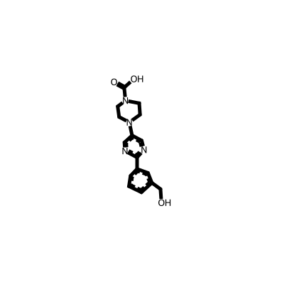 O=C(O)N1CCN(c2cnc(-c3cccc(CO)c3)nc2)CC1